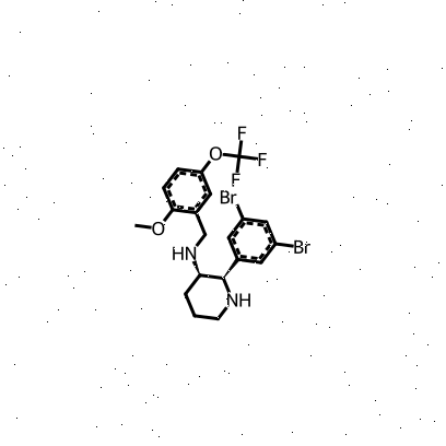 COc1ccc(OC(F)(F)F)cc1CN[C@@H]1CCCN[C@@H]1c1cc(Br)cc(Br)c1